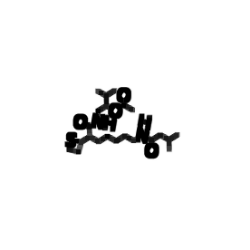 CC(=O)OC(CNC(=O)C(CCCCCNC(=O)CC(C)C)C1CCS1)C(C)C